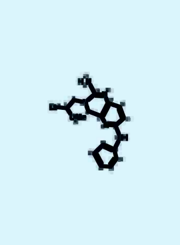 CCC(CN1Cc2nc(Nc3ccccc3)ccc2N=C1N)OC